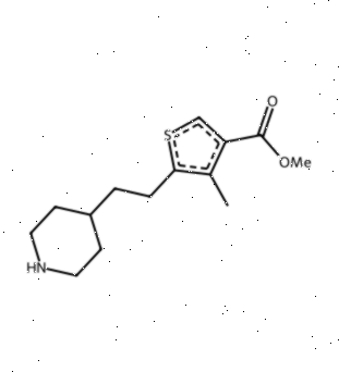 COC(=O)c1csc(CCC2CCNCC2)c1C